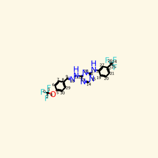 FC(F)(F)Oc1ccc(/C=N/Nc2ncnc(Nc3cccc(C(F)(F)F)c3)n2)cc1